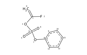 C=C(F)OS(=O)(=O)Oc1ccccc1